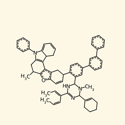 C/C=C\C(=C/C)C1=NC(C2=CCCCC2)N(C)C(c2cc(-c3cccc(-c4ccccc4)c3)ccc2C2C=Cc3oc4c(c3C2)C2=C(CC4C)N(c3ccccc3)C3=CC=CCC32)N1